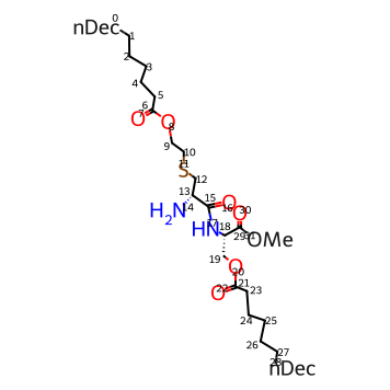 CCCCCCCCCCCCCCCC(=O)OCCSC[C@@H](N)C(=O)N[C@@H](COC(=O)CCCCCCCCCCCCCCC)C(=O)OC